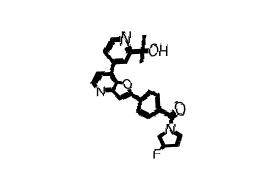 CC(C)(O)c1cc(-c2ccnc3cc(-c4ccc(C(=O)N5CCC(F)C5)cc4)oc23)ccn1